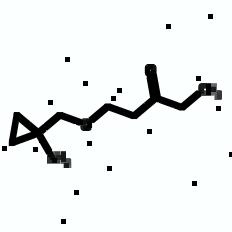 CCC(=O)CCOCC1(N)CC1